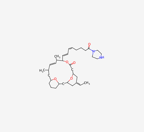 C/C=C1\CC2CC(=O)OC(/C=C/C=C\CCCC(=O)N3CCNCC3)C(C)/C=C/C(C)CC3CCCC(CC(C1)O2)O3